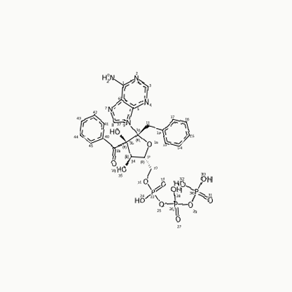 Nc1ncnc2c1ncn2[C@]1(Cc2ccccc2)O[C@H](COP(=O)(O)OP(=O)(O)OP(=O)(O)O)[C@@H](O)[C@]1(O)C(=O)c1ccccc1